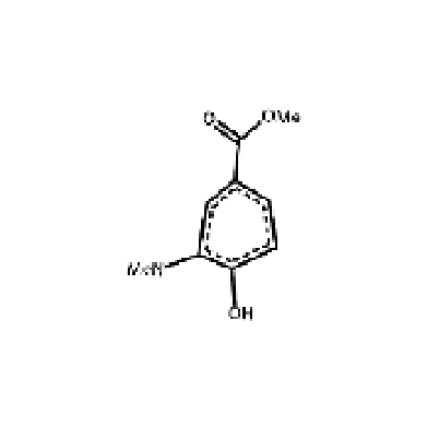 CNc1cc(C(=O)OC)ccc1O